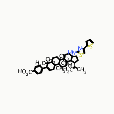 C=C(C)[C@@H]1CC[C@]2(Nc3nc(-c4cccs4)cs3)CC[C@]3(C)[C@H](CCC4[C@@]5(C)CC=C(c6ccc(C(=O)O)cc6)C(C)(C)C5CC[C@]43C)C12